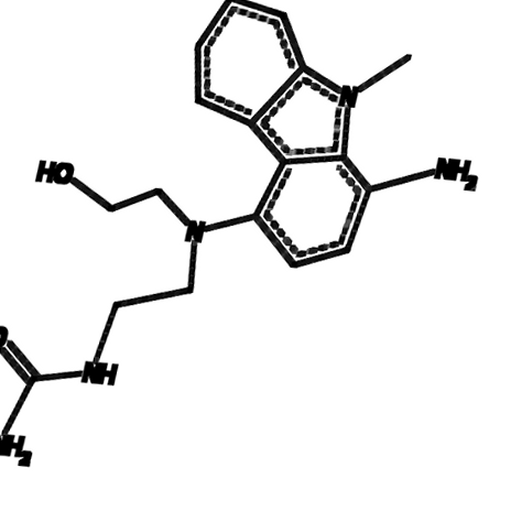 Cn1c2ccccc2c2c(N(CCO)CCNC(N)=O)ccc(N)c21